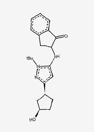 CC(C)(C)n1nc([C@H]2CC[C@@H](O)C2)cc1NC1Cc2ccccc2C1=O